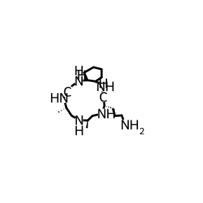 C[C@@H]1CN[C@@H](CCCN)CN[C@@H]2CCCC[C@H]2NCCN[C@@H](C)CN1